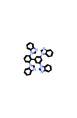 c1cc(-n2cnc3ccccc32)c(-c2cc(-n3cnc4ccccc43)cc(-n3cnc4ccccc43)c2)c(-n2cnc3ccccc32)c1